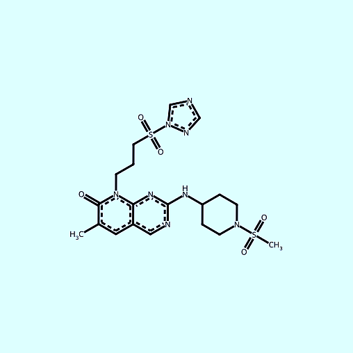 Cc1cc2cnc(NC3CCN(S(C)(=O)=O)CC3)nc2n(CCCS(=O)(=O)n2cncn2)c1=O